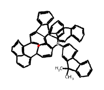 CC1(C)c2ccccc2-c2ccc(N(C3=CCC(c4cccc5cccc(-c6ccc7c(c6)c6ccccc6n7-c6ccc7ccccc7c6)c45)C=C3)c3ccccc3)cc21